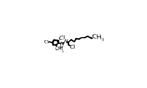 CCCCCCCCCC(CCl)=NNc1c(C)cc(Cl)cc1Cl